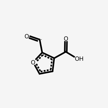 O=[C]c1occc1C(=O)O